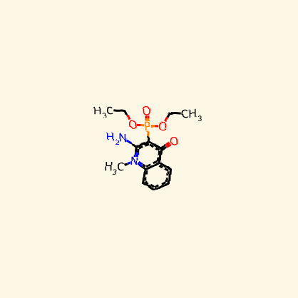 CCOP(=O)(OCC)c1c(N)n(C)c2ccccc2c1=O